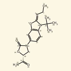 CCN=c1oc2cc(N3C[C@H](C(N)=O)OC3=O)ccc2n1C(C)(C)C